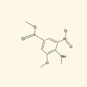 [CH2]Nc1c(OC)cc(C(=O)OC)cc1[N+](=O)[O-]